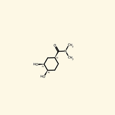 CN(C)C(=O)[C@H]1CC[C@@H](O)[C@@H](O)C1